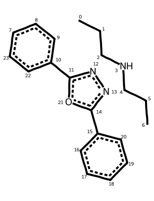 CCCNCCC.c1ccc(-c2nnc(-c3ccccc3)o2)cc1